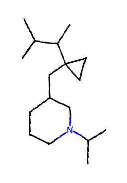 CC(C)C(C)C1(CC2CCCN(C(C)C)C2)CC1